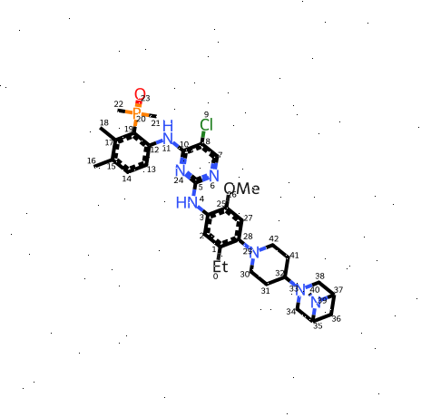 CCc1cc(Nc2ncc(Cl)c(Nc3ccc(C)c(C)c3P(C)(C)=O)n2)c(OC)cc1N1CCC(N2CC3CC(C2)N3C)CC1